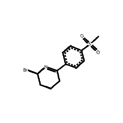 CS(=O)(=O)c1ccc(C2=NC(Br)CCC2)cc1